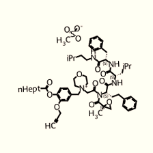 C#CCOc1cc(C[N+]2(CC(=O)N(C(=O)[C@@]3(C)CO3)[C@@H](CCc3ccccc3)C(=O)N[C@@H](CC(C)C)C(=O)N[C@@H](Cc3ccccc3)C(=O)NCCC(C)C)CCOCC2)ccc1OC(=O)CCCCCCC.CS(=O)(=O)[O-]